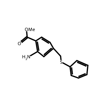 COC(=O)c1ccc(CSc2ccccc2)cc1N